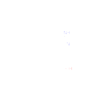 OCc1n[nH]c2c1CC1CC1C2